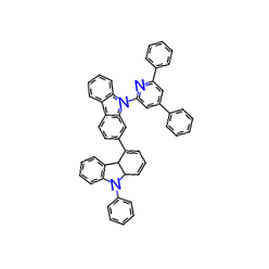 C1=CC2C(C(c3ccc4c5ccccc5n(-c5cc(-c6ccccc6)cc(-c6ccccc6)n5)c4c3)=C1)c1ccccc1N2c1ccccc1